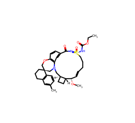 CCOC(=O)N[S@]1(=O)=NC(=O)c2ccc3c(c2)N(C[C@@H]2CC[C@H]2[C@@H](OC)/C=C/CCC1)C[C@@]1(CCCc2cc(C)ccc21)CO3